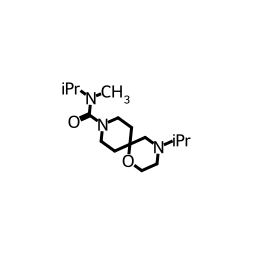 CC(C)N1CCOC2(CCN(C(=O)N(C)C(C)C)CC2)C1